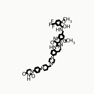 COc1cc(CNC(O)c2cc(C(F)(F)F)ccc2OC)ccc1-c1nn2c(c1C(N)=O)Nc1ccc(N3CCN(CC4CCN(c5ccc(N6CCC(=O)NC6=O)cc5)CC4)CC3)cc1CC2